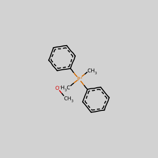 C[O-].C[P+](C)(c1ccccc1)c1ccccc1